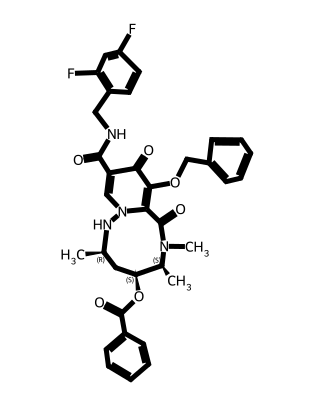 C[C@@H]1C[C@H](OC(=O)c2ccccc2)[C@H](C)N(C)C(=O)c2c(OCc3ccccc3)c(=O)c(C(=O)NCc3ccc(F)cc3F)cn2N1